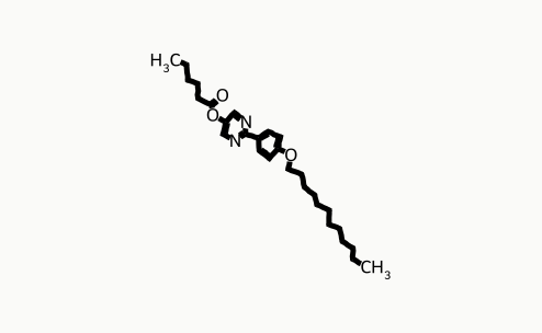 CCCCCCCCCCCCOc1ccc(-c2ncc(OC(=O)CCCCC)cn2)cc1